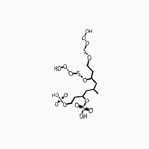 CC(CC(CCOSOOO)OSOOO)CC(CCOS(=O)(=O)O)OS(=O)(=O)O